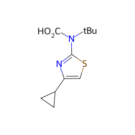 CC(C)(C)N(C(=O)O)c1nc(C2CC2)cs1